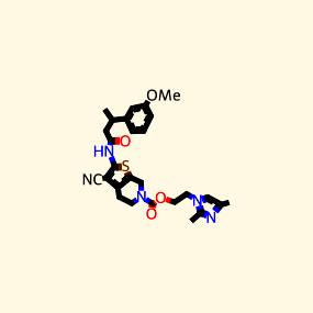 COc1cccc(C(C)CC(=O)Nc2sc3c(c2C#N)CCN(C(=O)OCCn2cc(C)nc2C)C3)c1